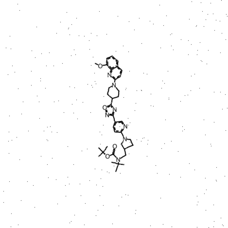 COc1cccc2ccc(N3CCC(c4nc(-c5ccc(N6CCC(CN(C(=O)OC(C)(C)C)C(C)(C)C)C6)nc5)no4)CC3)nc12